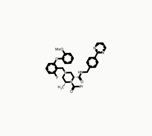 COc1ccccc1Oc1cccc(F)c1CN1C[C@@H](C)N(C(=O)C(C)C)[C@@H](C(=O)NCc2ccc(-c3ncccn3)cc2)C1